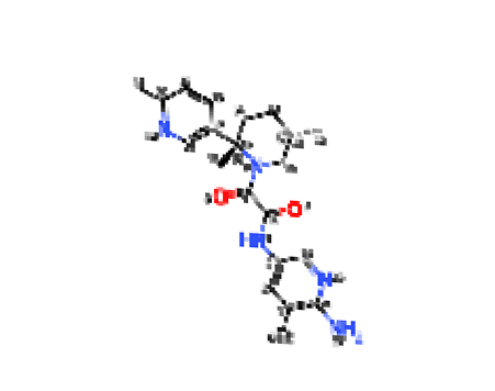 CCc1cc(NC(=O)C(=O)N2C[C@@H](C)CC[C@@]2(C)c2ccc(C)nc2)cnc1N